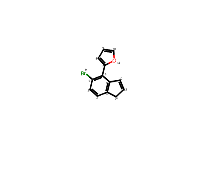 Brc1ccc2c(c1-c1ccco1)C=CC2